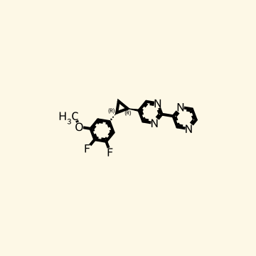 COc1cc([C@@H]2C[C@H]2c2cnc(-c3cnccn3)nc2)cc(F)c1F